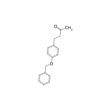 CC(=O)CCc1ccc(OCc2cc[c]cc2)cc1